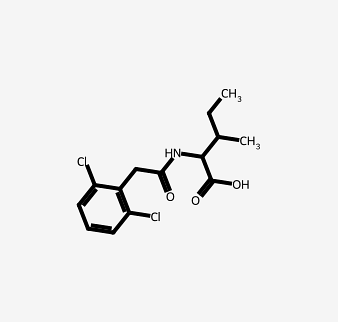 CCC(C)C(NC(=O)Cc1c(Cl)cccc1Cl)C(=O)O